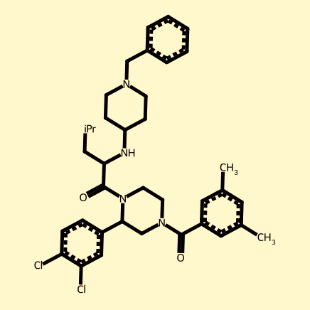 Cc1cc(C)cc(C(=O)N2CCN(C(=O)C(CC(C)C)NC3CCN(Cc4ccccc4)CC3)C(c3ccc(Cl)c(Cl)c3)C2)c1